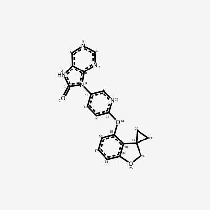 O=c1[nH]c2cncnc2n1-c1ccc(Oc2cccc3c2C2(CC2)CO3)nc1